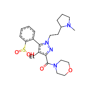 CCc1c(C(=O)N2CCOCC2)nn(CCC2CCCN2C)c1-c1ccccc1S(=O)O